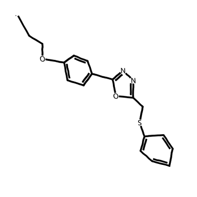 [CH2]CCOc1ccc(-c2nnc(CSc3ccccc3)o2)cc1